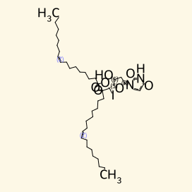 CCCCCCCC/C=C\CCCCCCCC(=O)OC(I)(C(=O)CCCCCCC/C=C\CCCCCCCC)[C@H]1O[C@@H](n2ccc(=O)[nH]c2=O)C[C@@H]1O